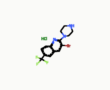 Cl.FC(F)(F)c1ccc2nc(N3CCNCC3)c(Br)cc2c1